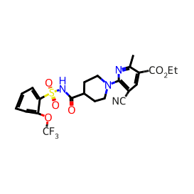 CCOC(=O)c1cc(C#N)c(N2CCC(C(=O)NS(=O)(=O)c3ccccc3OC(F)(F)F)CC2)nc1C